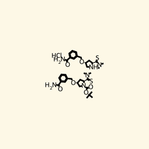 CN(C)C(=S)[C@@H]1C[C@@H](OCc2cccc(C(N)=O)c2)CN1.CN(C)C(=S)[C@@H]1C[C@@H](OCc2cccc(C(N)=O)c2)CN1C(=O)OC(C)(C)C.Cl